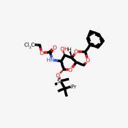 CC(C)C(C)(C)[Si](C)(C)O[C@@H]1OC2COC(c3ccccc3)O[C@H]2[C@H](O)C1NC(=O)OCC(Cl)(Cl)Cl